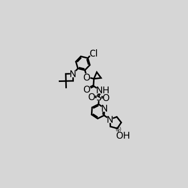 CC1(C)CN(c2ccc(Cl)cc2OC2(C(=O)NS(=O)(=O)c3cccc(N4CC[C@H](O)C4)n3)CC2)C1